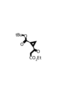 CCOC(=O)CC(=O)[C@@H]1C[C@@H]1C(=O)OC(C)(C)C